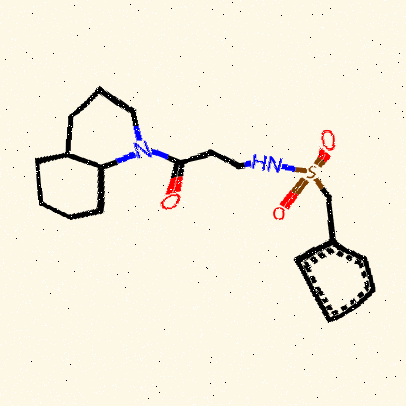 O=C(CCNS(=O)(=O)Cc1ccccc1)N1CCCC2CCCCC21